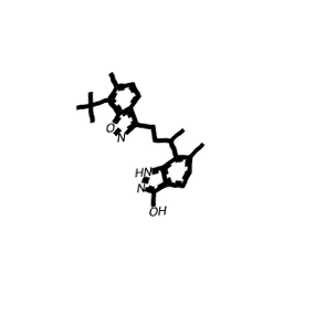 Cc1ccc2c(O)n[nH]c2c1C(C)CCc1noc2c(C(C)(C)C)c(C)ccc12